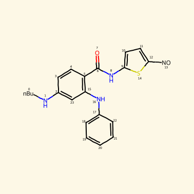 CCCCNc1ccc(C(=O)Nc2ccc(N=O)s2)c(Nc2ccccc2)c1